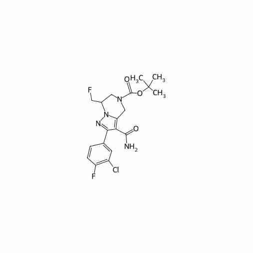 CC(C)(C)OC(=O)N1Cc2c(C(N)=O)c(-c3ccc(F)c(Cl)c3)nn2C(CF)C1